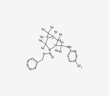 [2H]C([2H])(Nc1ccc(C(F)(F)F)cn1)[C@@]1([2H])N(C(=O)OCc2ccccc2)C([2H])([2H])[C@@]2([2H])C([2H])([2H])[C@@]2([2H])C1([2H])[2H]